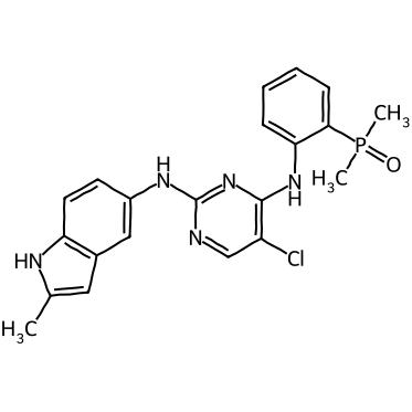 Cc1cc2cc(Nc3ncc(Cl)c(Nc4ccccc4P(C)(C)=O)n3)ccc2[nH]1